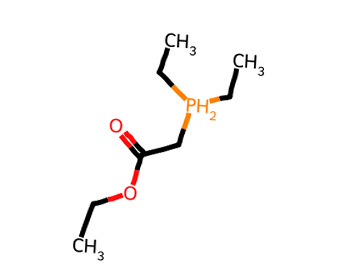 CCOC(=O)C[PH2](CC)CC